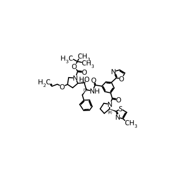 C=CCOC1CC([C@@H](O)[C@H](Cc2ccccc2)NC(=O)c2cc(C(=O)N3CCC[C@@H]3c3nc(C)cs3)cc(-c3ncco3)c2)N(C(=O)OC(C)(C)C)C1